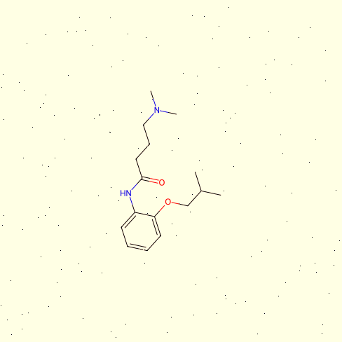 CC(C)COc1ccccc1NC(=O)CCCN(C)C